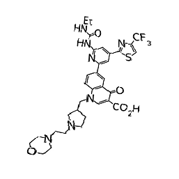 CCNC(=O)Nc1cc(-c2nc(C(F)(F)F)cs2)cc(-c2ccc3c(c2)c(=O)c(C(=O)O)cn3CC2CCN(CCN3CCOCC3)C2)n1